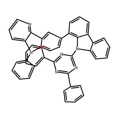 c1ccc(-c2nc(-c3ccccc3)nc(-n3c4ccccc4c4cccc(-c5ccc6c(c5)c5ncccc5n6-c5ccccc5)c43)n2)cc1